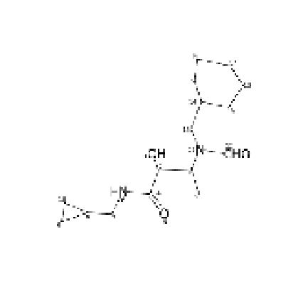 CC(C(O)C(=O)NCC1CC1)N(C=O)CC1CCCCC1